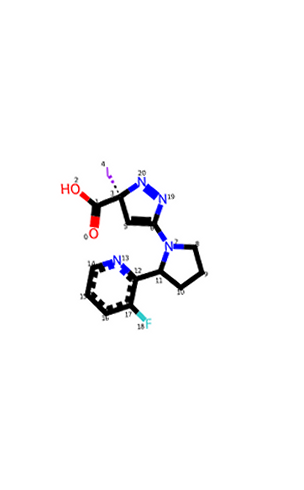 O=C(O)[C@]1(I)C=C(N2CCCC2c2ncccc2F)N=N1